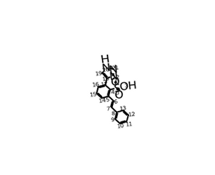 O=S(=O)(O)c1c(C=Cc2ccccc2)cccc1-c1c[nH]nn1